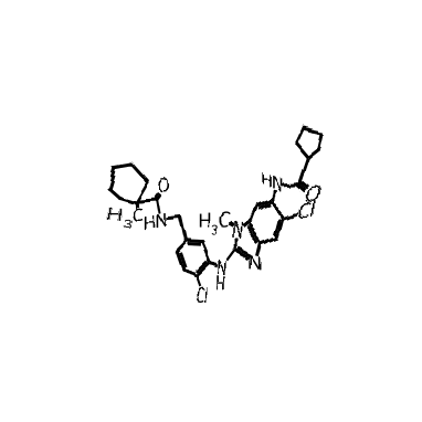 Cn1c(Nc2cc(CNC(=O)C3(C)CCCCC3)ccc2Cl)nc2cc(Cl)c(NC(=O)C3CCCC3)cc21